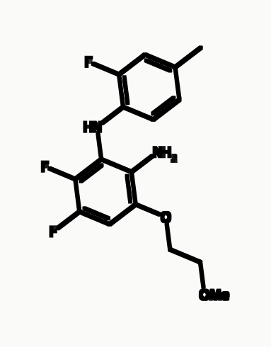 COCCOc1cc(F)c(F)c(Nc2ccc(C)cc2F)c1N